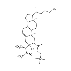 CCC1([C@H](C(=O)O)C(=O)C(=O)O)CC2=CCC3C(CC[C@@]4(C)C3CC[C@@H]4[C@H](C)CCCC(C)C)[C@@]2(C)CC1N(C)CC[N+](C)(C)C